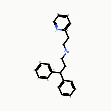 c1ccc(C(CCNCCc2ccccn2)c2ccccc2)cc1